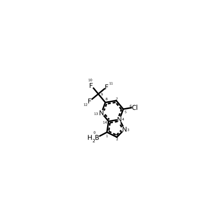 Bc1cnn2c(Cl)cc(C(F)(F)F)nc12